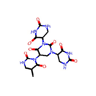 CC1CNC(=O)N(C2CN(C3CNC(=O)NC3=O)C(=O)N(C3CNC(=O)NC3=O)C2=O)C1=O